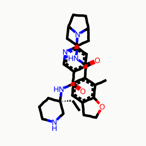 CC[C@@]1(NC(=O)c2ccc(N3C4CCC3CC(NC(=O)c3ccc5c(c3C)OCC5)C4)nc2)CCCNC1